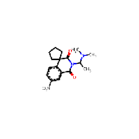 CC(N(C)C)N1C(=O)c2cc([N+](=O)[O-])ccc2C2(CCCC2)C1=O